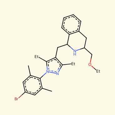 CCOCC1Cc2ccccc2C(Cc2c(CC)nn(-c3c(C)cc(Br)cc3C)c2CC)N1